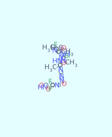 CCOc1cc(N2CCC(N3CCN(C(=O)[C@@H]4CCN(c5cc(F)c([C@H]6CCC(=O)NC6=O)c(F)c5)C4)CC3)CC2)c(CC)cc1Nc1ncc(Br)c(Nc2ccc3nc(C)c(F)cc3c2P(C)(C)=O)n1